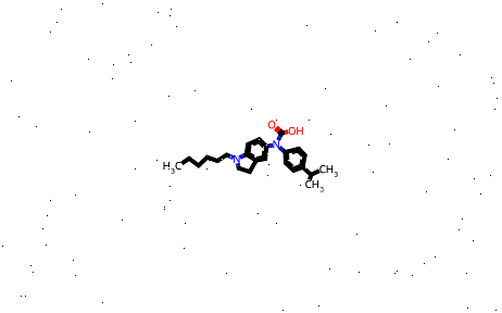 CCCCCCN1CCc2cc(N(C(=O)O)c3ccc(C(C)C)cc3)ccc21